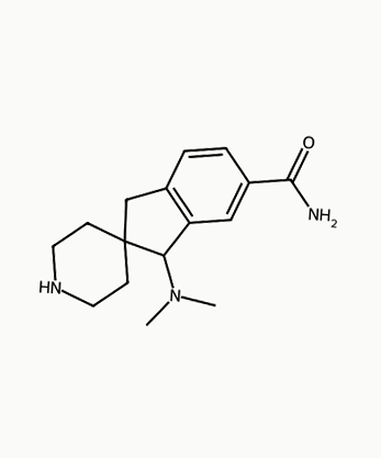 CN(C)C1c2cc(C(N)=O)ccc2CC12CCNCC2